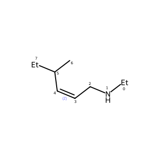 CCNC/C=C\C(C)CC